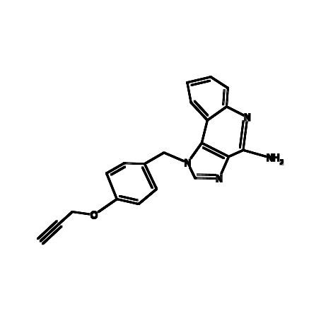 C#CCOc1ccc(Cn2cnc3c(N)nc4ccccc4c32)cc1